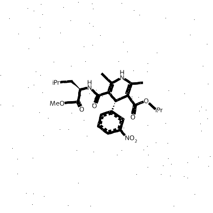 COC(=O)[C@@H](CC(C)C)NC(=O)C1=C(C)NC(C)=C(C(=O)OC(C)C)[C@@H]1c1cccc([N+](=O)[O-])c1